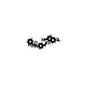 COc1ccc2c(NCCc3ccc(NC(=O)Nc4ccccc4)cc3)c(C#N)cnc2c1